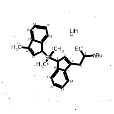 CCCCC(CC)CC1=CC([Si](C)(C)C2C=C(C)c3ccccc32)c2ccccc21.[LiH]